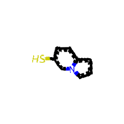 Sc1ccc2cccn2c1